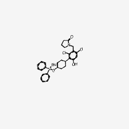 CC(C)(C)[Si](OC1CCC(c2c(O)cc(Cl)c(CN3CCCC3=O)c2Cl)CC1)(c1ccccc1)c1ccccc1